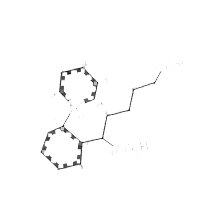 CCCCCCCCCCCCCCC(C(=O)O)c1ccccc1-[n+]1ccccc1